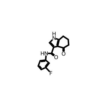 O=C(Nc1cccc(F)c1)c1c[nH]c2c1C(=O)CCC2